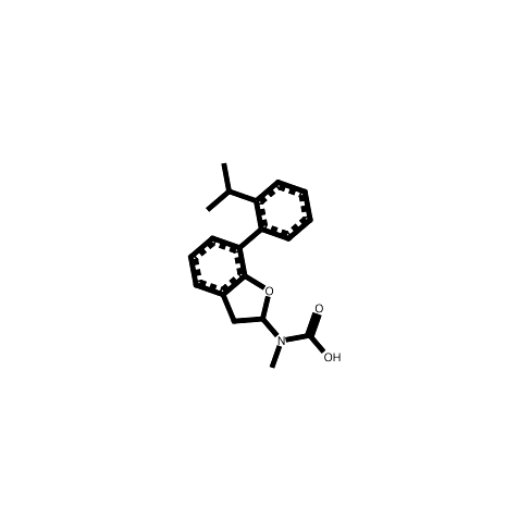 CC(C)c1ccccc1-c1cccc2c1OC(N(C)C(=O)O)C2